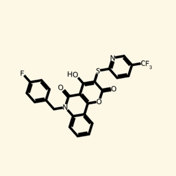 O=c1oc2c(c(O)c1Sc1ccc(C(F)(F)F)cn1)c(=O)n(Cc1ccc(F)cc1)c1ccccc21